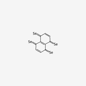 [Se]=c1ccc(=[Se])c2c(=[Se])ccc(=[Se])c1=2